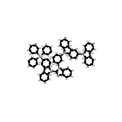 c1ccc([Si](c2ccccc2)(c2ccccc2)c2ccc3c(c2)c2ccccc2n3-c2nc3ccccc3n2-c2cccc(-n3c4ccccc4c4cc(-n5c6ccccc6c6ccccc65)ccc43)c2)cc1